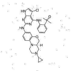 CP(C)(=O)c1ccccc1Nc1nc(Nc2ccc3c(c2)OC[C@H]2CN(C4CC4)CCN32)nc2[nH]cc(Cl)c12